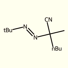 CCCCC(C)(C#N)N=NC(C)(C)C